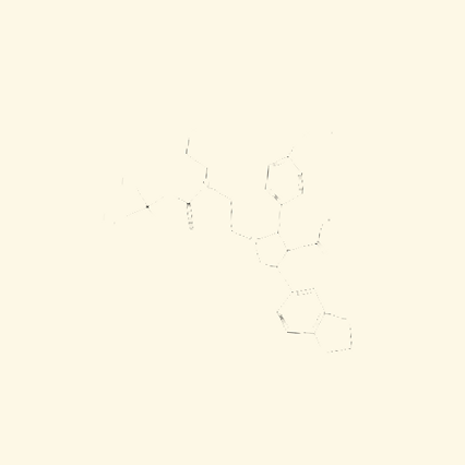 CCCN(CCN1CC(c2ccc3c(c2)OCO3)C(C(=O)O)C1c1ccc(OC)cc1)C(=O)OC(C)(C)C